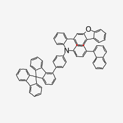 c1ccc(N(c2ccc(-c3cccc4c3-c3ccccc3C43c4ccccc4-c4ccccc43)cc2)c2ccc(-c3cccc4ccccc34)cc2)c(-c2ccc3c(c2)oc2ccccc23)c1